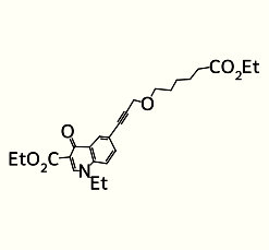 CCOC(=O)CCCCCOCC#Cc1ccc2c(c1)c(=O)c(C(=O)OCC)cn2CC